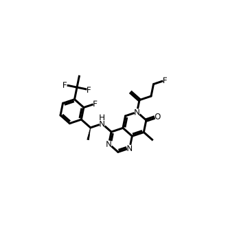 C=C(CCF)n1cc2c(N[C@@H](C)c3cccc(C(C)(F)F)c3F)ncnc2c(C)c1=O